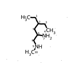 CCC(CC)CC(N)CNC